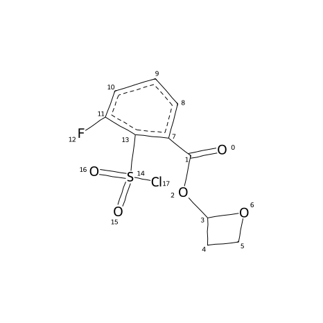 O=C(OC1CCO1)c1cccc(F)c1S(=O)(=O)Cl